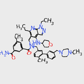 CCc1nc2c(cnn2CC)c(NC2CCOCC2)c1CN(Cc1ccc(C)c(-c2cccc(CN3CCN(C)CC3)c2)c1)C(=O)c1cc(C)cc(C(N)=O)c1